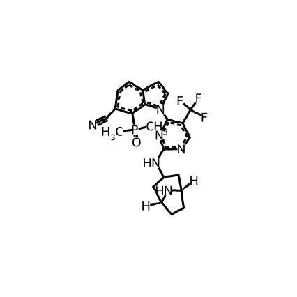 CP(C)(=O)c1c(C#N)ccc2ccn(-c3nc(NC4C[C@H]5CC[C@@H](C4)N5)ncc3C(F)(F)F)c12